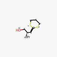 CCC[C@H](C=C1SCCCS1)CO